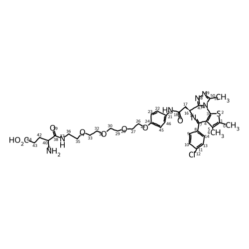 Cc1sc2c(c1C)C(c1ccc(Cl)cc1)=N[C@@H](CC(=O)Nc1ccc(OCCOCCOCCOCCNC(=O)C(N)CCC(=O)O)cc1)c1nnc(C)n1-2